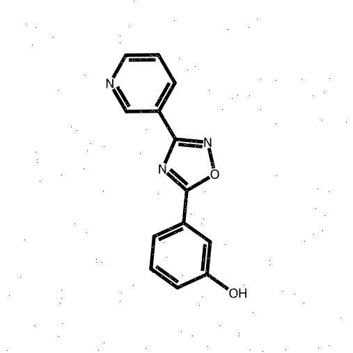 Oc1cccc(-c2nc(-c3cccnc3)no2)c1